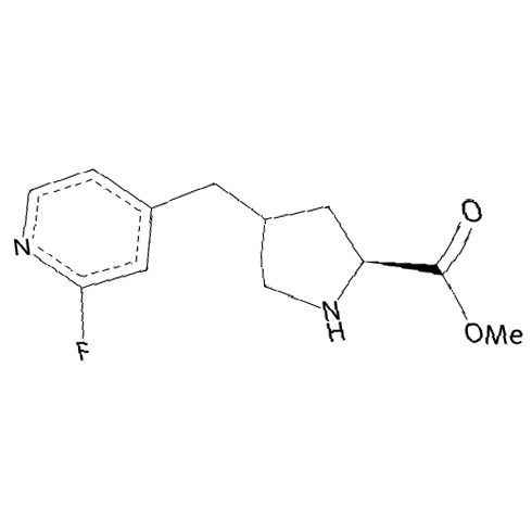 COC(=O)[C@@H]1CC(Cc2ccnc(F)c2)CN1